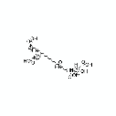 O=C(O)CC[C@H](NC(=O)N[C@@H](CCCCNC(=O)CCCCCCCCCCN(Cc1nccn1CC(=O)O)Cc1nccn1CC(=O)O)C(=O)O)C(=O)O